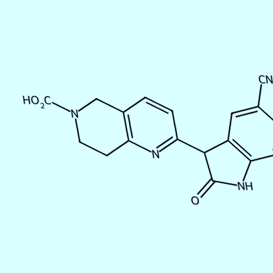 N#Cc1ccc2c(c1)C(c1ccc3c(n1)CCN(C(=O)O)C3)C(=O)N2